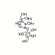 O=C[C@H](OC1(CO)O[C@H](CO)[C@@H](O)[C@@H]1O)[C@@H](O)[C@H](O)[C@H](O)CO